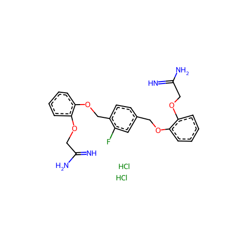 Cl.Cl.N=C(N)COc1ccccc1OCc1ccc(COc2ccccc2OCC(=N)N)c(F)c1